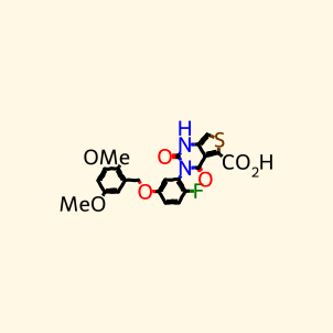 COc1ccc(OC)c(COc2ccc(F)c(-n3c(=O)[nH]c4csc(C(=O)O)c4c3=O)c2)c1